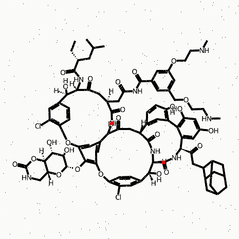 CC[C@H](CC(C)C)C(=O)N[C@H]1C(=O)C[C@@H](CC(=O)NC(=O)c2cc(COCCNC)cc(OCCNC)c2)C(=O)N[C@H]2C(=O)C[C@H]3C(=O)N[C@H](C(=O)N[C@H](C(=O)CC4C5CC6CC(C5)CC4C6)c4cc(O)cc(O)c4-c4cc3ccc4O)[C@H](O)c3ccc(c(Cl)c3)Oc3cc2cc(c3O[C@@H]2O[C@@H]3CNC(=O)O[C@H]3[C@H](O)[C@H]2O)Oc2ccc(cc2Cl)[C@H]1O